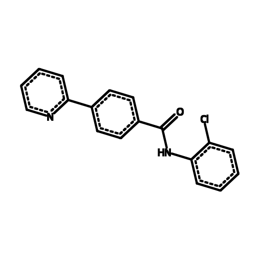 O=C(Nc1ccccc1Cl)c1ccc(-c2ccccn2)cc1